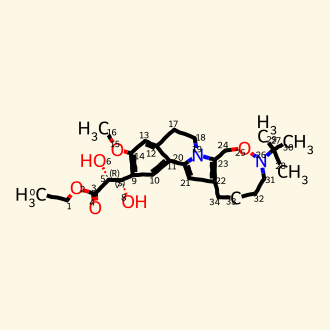 CCOC(=O)[C@H](O)[C@@H](O)c1cc2c(cc1OC)CCn1c-2cc2c1CON(C(C)(C)C)CCCC2